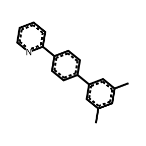 Cc1cc(C)cc(-c2ccc(-c3ccccn3)cc2)c1